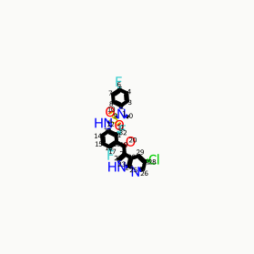 CN(c1ccc(F)cc1)S(=O)(=O)Nc1ccc(F)c(C(=O)c2c[nH]c3ncc(Cl)cc23)c1F